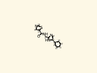 O=C(NCc1ncc(-c2ccccc2)[nH]1)c1cncs1